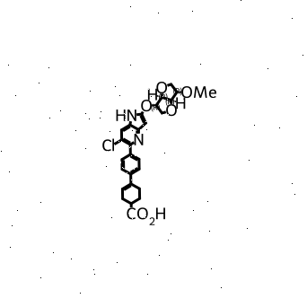 CO[C@@H]1CO[C@H]2[C@@H]1OC[C@H]2Oc1cc2nc(-c3ccc(C4=CCC(C(=O)O)CC4)cc3)c(Cl)cc2[nH]1